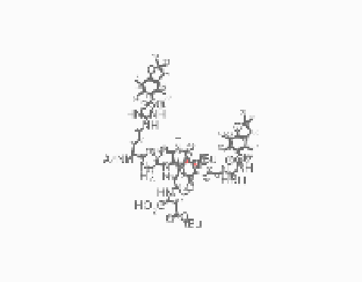 CC(=O)N[C@@H](CCCNC(=N)NS(=O)(=O)c1c(C)c(C)c2c(c1C)CC(C)(C)O2)C(=O)N[C@@H](C)C(=O)N[C@@H](CC(=O)OC(C)(C)C)C(=O)N[C@@H](C)C(=O)N[C@@H](CCCNC(=N)NS(=O)(=O)c1c(C)c(C)c2c(c1C)CC(C)(C)O2)C(=O)N[C@@H](C)C(=O)N[C@@H](CC(=O)OC(C)(C)C)C(=O)O